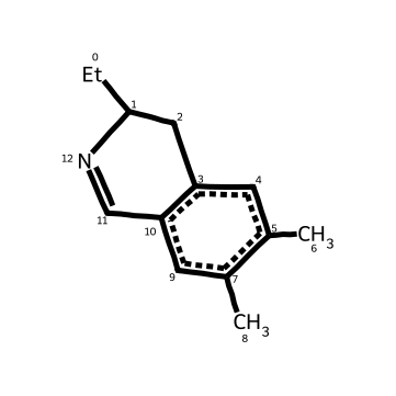 CCC1Cc2cc(C)c(C)cc2C=N1